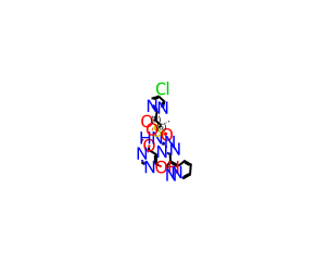 COc1ncnc(O)c1-n1c(NS(=O)(=O)[C@@H](C)[C@H](OC)c2ncc(Cl)cn2)nnc1-c1cnn2ccccc12